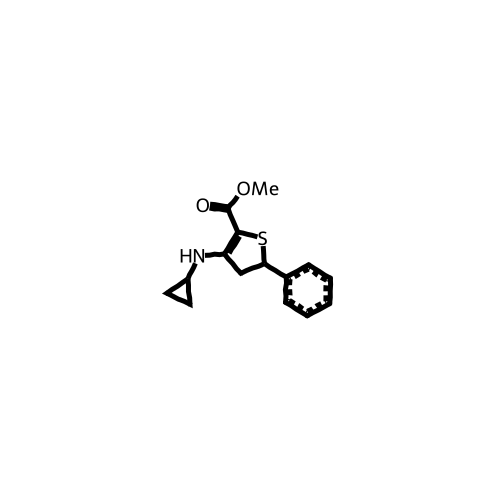 COC(=O)C1=C(NC2CC2)CC(c2ccccc2)S1